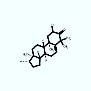 CC(=O)[C@H]1CC[C@H]2[C@@H]3CC=C4C(C)(C)C(=O)C(C#N)C[C@]4(C)[C@H]3CC[C@]12C